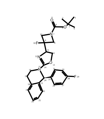 CC(C)(C)OC(=O)N1CC(F)(C2COC(N3CCc4ccccc4[C@@H]3c3ccc(F)cc3)=N2)C1